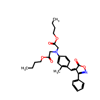 CCCCOC(=O)CN(CC(=O)OCCCC)c1ccc(C=C2C(=O)ON=C2c2ccccc2)c(C)c1